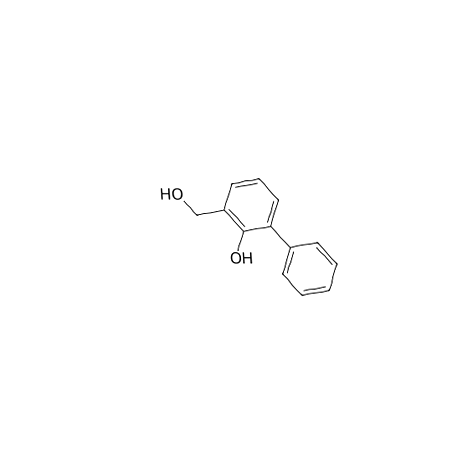 OCc1cccc(-c2ccccc2)c1O